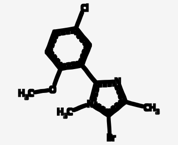 COc1ccc(Cl)cc1-c1nc(C)c(Br)n1C